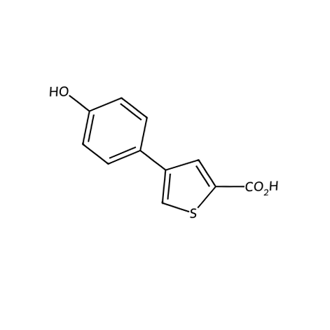 O=C(O)c1cc(-c2ccc(O)cc2)cs1